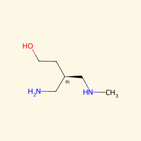 CNC[C@@H](CN)CCO